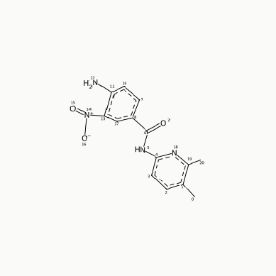 Cc1ccc(NC(=O)c2ccc(N)c([N+](=O)[O-])c2)nc1C